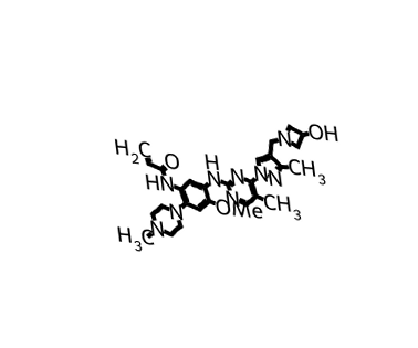 C=CC(=O)Nc1cc(Nc2ncc(C)c(-n3cc(CN4CC(O)C4)c(C)n3)n2)c(OC)cc1N1CCN(C)CC1